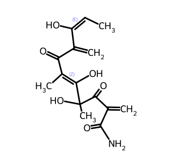 C=C(C(N)=O)C(=O)C(C)(O)/C(O)=C(\C)C(=O)C(=C)/C(O)=C\C